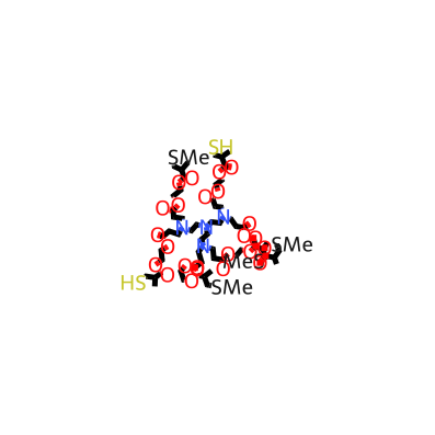 CSCC(C)C(=O)OCCOC(=O)CCN(CCC(=O)OCCOC(=O)C(C)CS)CCN(CCN(CCC(=O)OCCOC(=O)C(C)CS)CCC(=O)OCCOC(=O)C(C)CSC)CCN(CCC(=O)OCCOC(=O)C(C)CSC)CCC(=O)OCCOC(=O)C(C)CSC